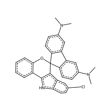 CN(C)c1ccc2c(c1)-c1cc(N(C)C)ccc1C21Oc2ccccc2-c2[nH]c3ccc(Cl)cc3c21